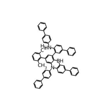 Cc1cccc(C)c1-c1cc(-c2cc(-c3ccccc3)ccc2Nc2ccc(-c3ccccc3)cc2)c2c(c1)N(c1ccc(-c3ccccc3)cc1)c1ccc(-c3ccccc3)cc1B2